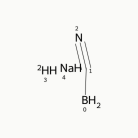 BC#N.[2HH].[NaH]